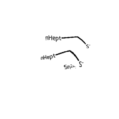 CCCCCCCC[S-].CCCCCCCC[S-].[Sn+2]